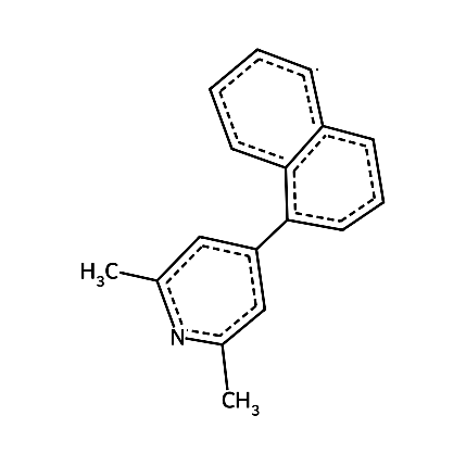 Cc1cc(-c2cccc3[c]cccc23)cc(C)n1